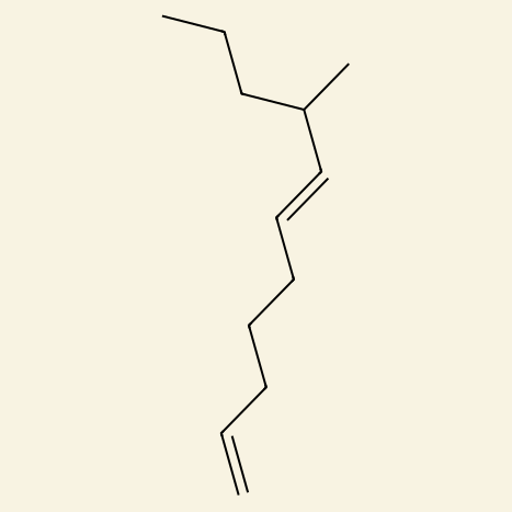 C=CCCCC=CC(C)CCC